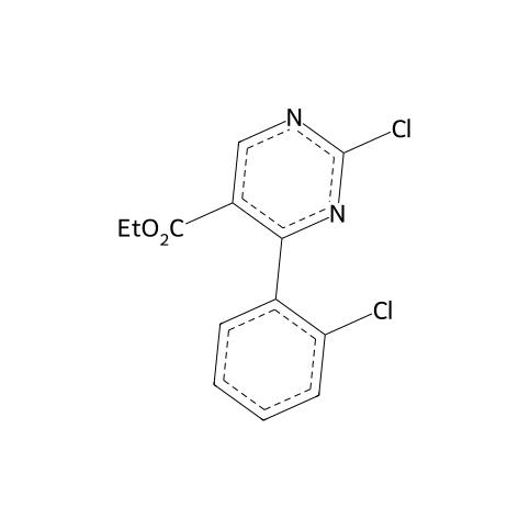 CCOC(=O)c1cnc(Cl)nc1-c1ccccc1Cl